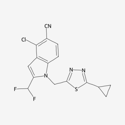 N#Cc1ccc2c(cc(C(F)F)n2Cc2nnc(C3CC3)s2)c1Cl